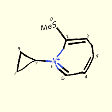 CSc1cccc[n+]1C1CC1